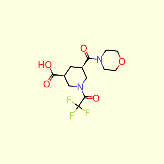 O=C(O)[C@H]1C[C@@H](C(=O)N2CCOCC2)CN(C(=O)C(F)(F)F)C1